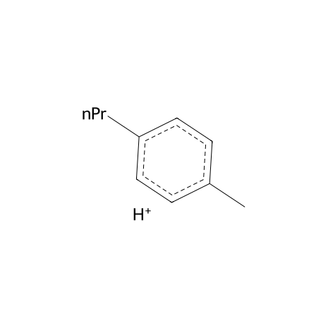 CCCc1ccc(C)cc1.[H+]